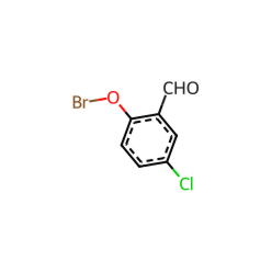 O=Cc1cc(Cl)ccc1OBr